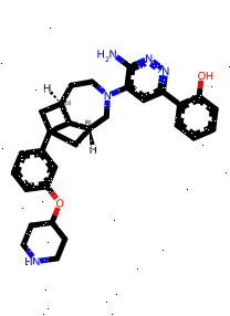 Nc1nnc(-c2ccccc2O)cc1N1CC[C@@H]2CC3(c4cccc(OC5CCNCC5)c4)C[C@@H](C1)C23